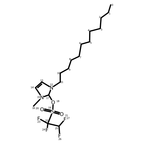 CCCCCCCCCCCCN1C=CN(C)C1OS(=O)(=O)C(F)(F)C(F)F